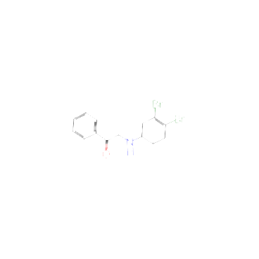 O=C(CNC1CCC(Br)=C(Br)C1)c1ccccc1